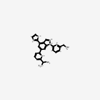 CC(N)c1cccc(-c2cc(-c3nccs3)c3cnn(-c4cccc(CO)n4)c3c2)n1